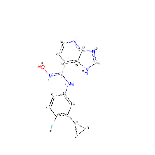 O/N=C(/Nc1ccc(F)c(C2CC2)c1)c1ccnc2nc[nH]c12